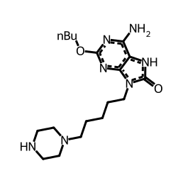 CCCCOc1nc(N)c2[nH]c(=O)n(CCCCCN3CCNCC3)c2n1